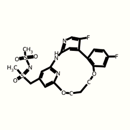 CS(=O)(=O)N=S(C)(=O)Cc1cc2nc(c1)OCCCOc1cc(F)ccc1-c1cc(ncc1F)N2